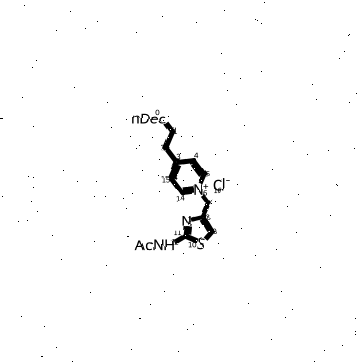 CCCCCCCCCCCCc1cc[n+](Cc2csc(NC(C)=O)n2)cc1.[Cl-]